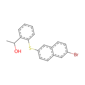 CC(O)c1ccccc1Sc1ccc2cc(Br)ccc2c1